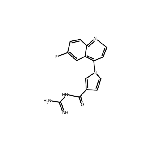 N=C(N)NC(=O)c1ccn(-c2ccnc3ccc(F)cc23)c1